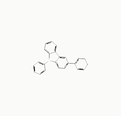 C1=CC(c2ccc3c(c2)c2ccccc2n3-c2ccccc2)=CCC1